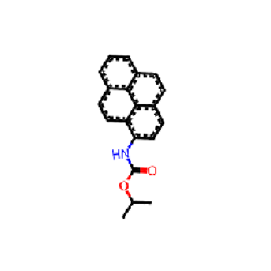 CC(C)OC(=O)Nc1ccc2ccc3cccc4ccc1c2c34